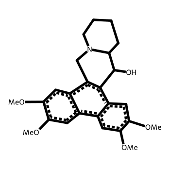 COc1cc2c3c(c4cc(OC)c(OC)cc4c2cc1OC)C(O)C1CCCCN1C3